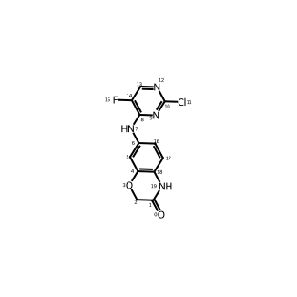 O=C1COc2cc(Nc3nc(Cl)ncc3F)ccc2N1